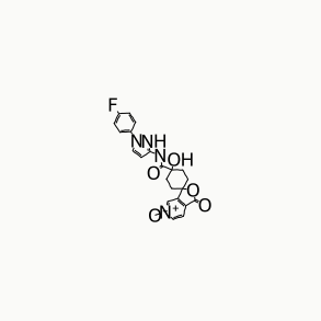 O=C1OC2(CCC(O)(C(=O)Nc3ccn(-c4ccc(F)cc4)n3)CC2)c2c[n+]([O-])ccc21